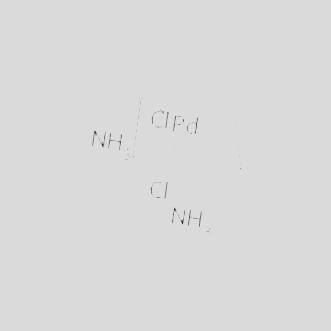 N.N.[Cl][Pd]12([Cl])([CH2][CH2]1)[CH2][CH2]2